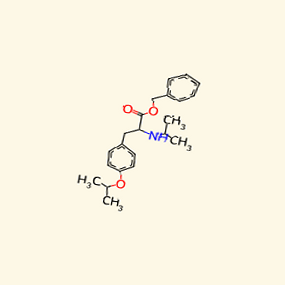 CC(C)NC(Cc1ccc(OC(C)C)cc1)C(=O)OCc1ccccc1